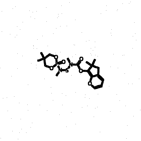 CN(SN(C)P1(=O)OCC(C)(C)CO1)C(=O)OC1=C2OC=CC=C2CC1(C)C